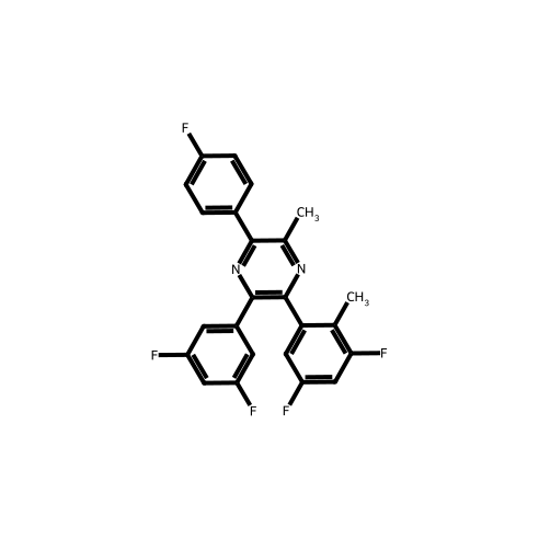 Cc1nc(-c2cc(F)cc(F)c2C)c(-c2cc(F)cc(F)c2)nc1-c1ccc(F)cc1